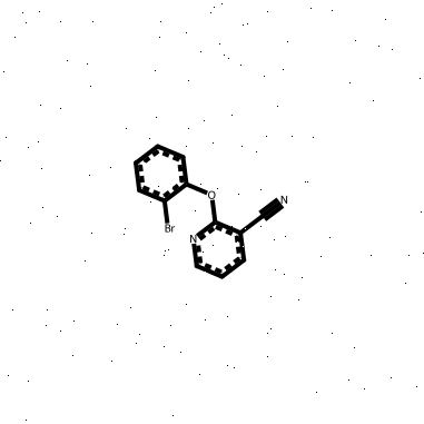 N#Cc1cccnc1Oc1ccccc1Br